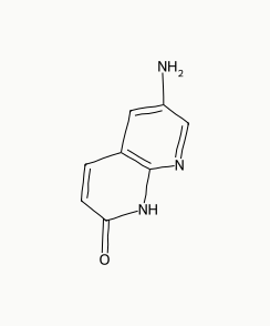 Nc1cnc2[nH]c(=O)ccc2c1